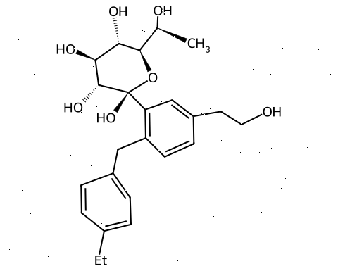 CCc1ccc(Cc2ccc(CCO)cc2[C@@]2(O)O[C@H]([C@H](C)O)[C@@H](O)[C@H](O)[C@H]2O)cc1